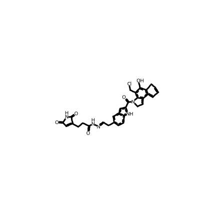 O=C1C=C(CCC(=O)NN=CCc2ccc3[nH]c(C(=O)N4CC=c5c4c(CCl)c(O)c4c5=CC=CC4)cc3c2)C(=O)N1